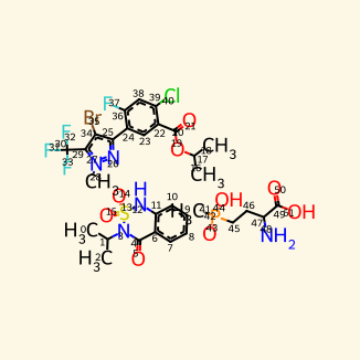 CC(C)N1C(=O)c2ccccc2NS1(=O)=O.CC(C)OC(=O)c1cc(-c2nn(C)c(C(F)(F)F)c2Br)c(F)cc1Cl.CP(=O)(O)CCC(N)C(=O)O